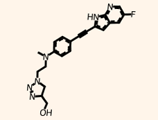 CN(CCN1CC(CO)N=N1)c1ccc(C#Cc2cc3cc(F)cnc3[nH]2)cc1